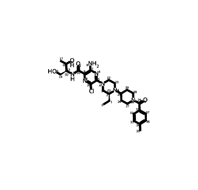 CC[C@H]1CN(c2nc(N)c(C(=O)N[C@@H](CO)C(C)O)nc2Cl)CCN1C1CCN(C(=O)c2ccc(C)cc2)CC1